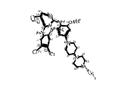 COc1cc(N2CCC(N3CCN(C)CC3)CC2)ccc1Nc1ncc(Cl)c(Nc2cc(Cl)c(Cl)cc2NC(C)=O)n1